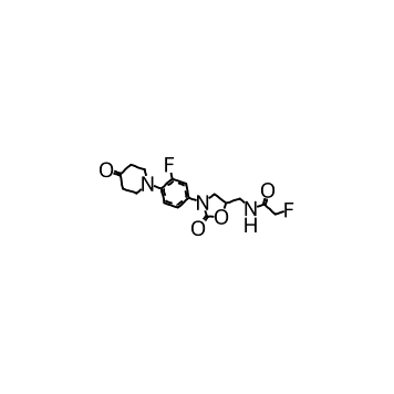 O=C1CCN(c2ccc(N3CC(CNC(=O)CF)OC3=O)cc2F)CC1